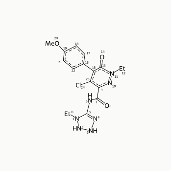 CCN1NNN=C1NC(=O)c1nn(CC)c(=O)c(-c2ccc(OC)cc2)c1Cl